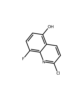 Oc1ccc(F)c2nc(Cl)ccc12